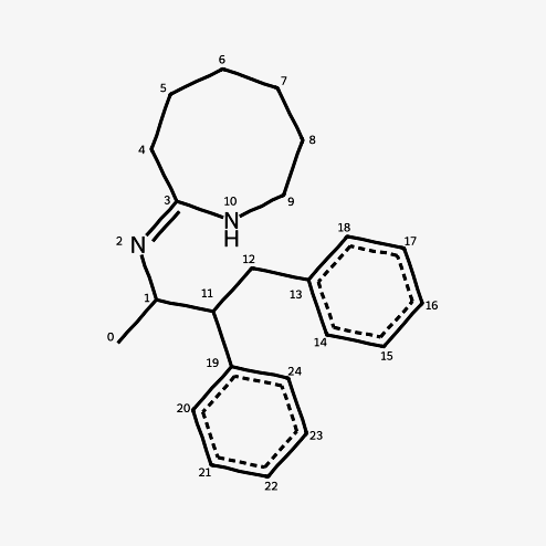 CC(N=C1CCCCCCN1)C(Cc1ccccc1)c1ccccc1